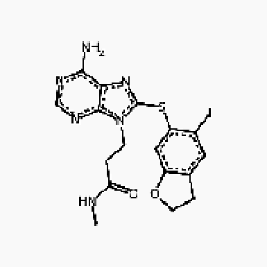 CNC(=O)CCn1c(Sc2cc3c(cc2I)CCO3)nc2c(N)ncnc21